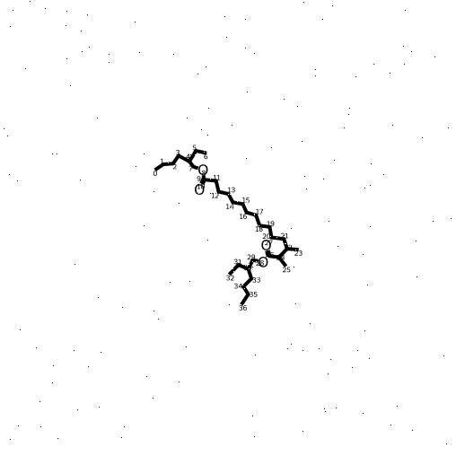 CCCCC(CC)COC(=O)CCCCCCCCCCCC(C)C(C)C(=O)OCC(CC)CCCC